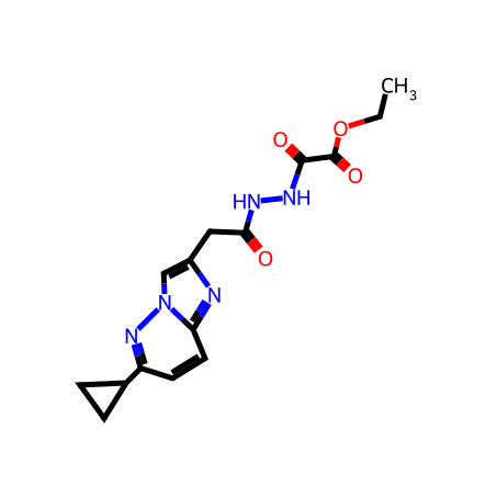 CCOC(=O)C(=O)NNC(=O)Cc1cn2nc(C3CC3)ccc2n1